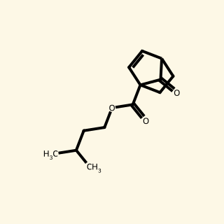 CC(C)CCOC(=O)C12C=CC(CC1)C2=O